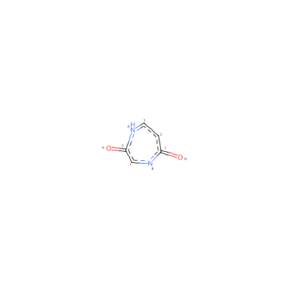 O=c1cc[nH]c(=O)cn1